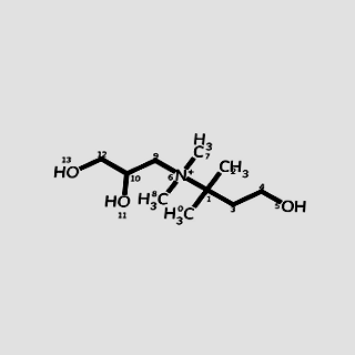 CC(C)(CCO)[N+](C)(C)CC(O)CO